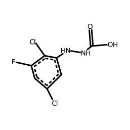 O=C(O)NNc1cc(Cl)cc(F)c1Cl